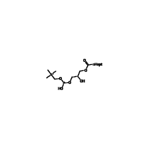 CCCCCCCC(=O)OCC(O)COP(O)OC[N+](C)(C)C